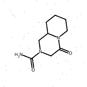 NC(=O)N1CC(=O)N2CCCCC2C1